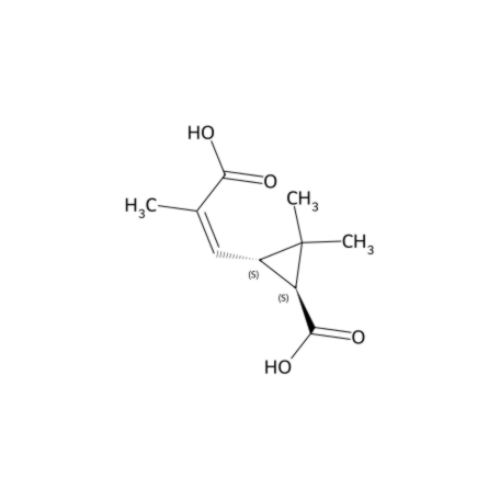 CC(=C[C@H]1[C@H](C(=O)O)C1(C)C)C(=O)O